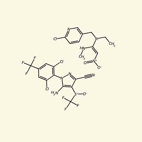 CCN(Cc1ccc(Cl)nc1)/C(=C/[N+](=O)[O-])NC.N#Cc1nn(-c2c(Cl)cc(C(F)(F)F)cc2Cl)c(N)c1[S+]([O-])C(F)(F)F